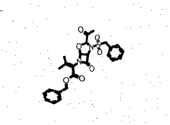 CC(=O)C1OC2C(C(=O)N2C(C(=O)OCc2ccccc2)=C(C)C)N1S(=O)(=O)Cc1ccccc1